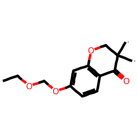 [CH2]C1([CH2])COc2cc(OCOCC)ccc2C1=O